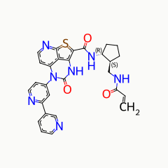 C=CC(=O)NC[C@@H]1CCC[C@H]1NC(=O)c1sc2nccc3c2c1NC(=O)N3c1ccnc(-c2cccnc2)c1